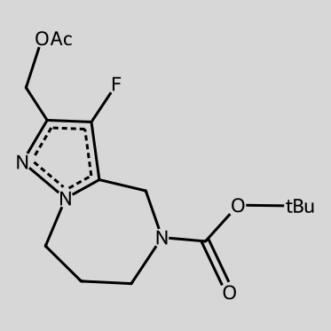 CC(=O)OCc1nn2c(c1F)CN(C(=O)OC(C)(C)C)CCC2